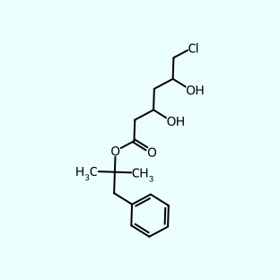 CC(C)(Cc1ccccc1)OC(=O)CC(O)CC(O)CCl